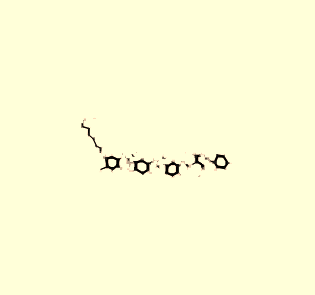 CCCCCCCCCCCCCCCCOc1cc(NS(=O)(=O)c2cccc(NS(=O)(=O)c3ccc(OC)c(/N=N/c4c(C#N)[nH]n(-c5ccccc5)c4=O)c3)c2)c(O)cc1C